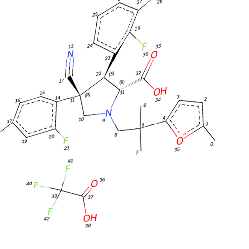 Cc1ccc(C(C)(C)CN2C[C@](C#N)(c3ccc(Cl)cc3F)[C@@H](c3cccc(Cl)c3F)[C@@H]2C(=O)O)o1.O=C(O)C(F)(F)F